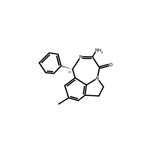 Cc1cc2c3c(c1)[C@H](c1ccccc1)N=C(N)C(=O)N3CC2